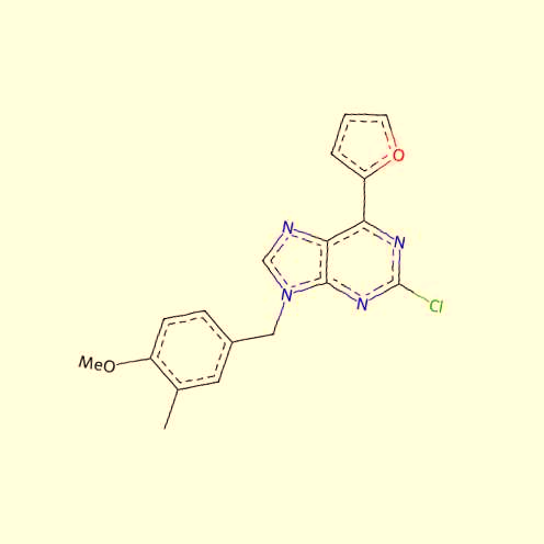 COc1ccc(Cn2cnc3c(-c4ccco4)nc(Cl)nc32)cc1C